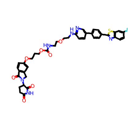 O=C1CCC(N2Cc3cc(OCCCOC(=O)NCCOCCNc4ccc(-c5ccc(-c6nc7ccc(F)cc7s6)cc5)cn4)ccc3C2=O)C(=O)N1